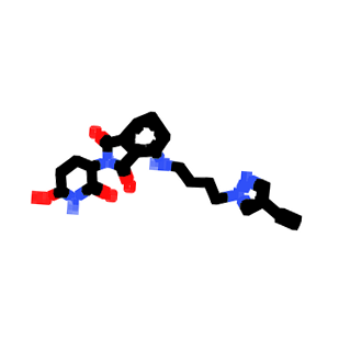 C#Cc1cnn(CCCCNc2cccc3c2C(=O)N(C2CCC(O)NC2=O)C3=O)c1